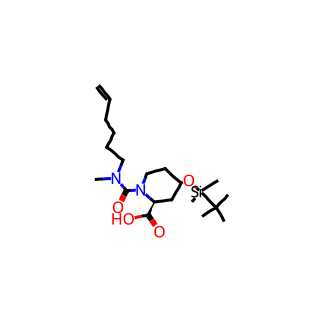 C=CCCCCN(C)C(=O)N1CC[C@@H](O[Si](C)(C)C(C)(C)C)C[C@H]1C(=O)O